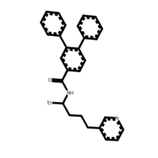 CCC(CCCc1cccnc1)NC(=O)c1ccc(-c2ccccc2)c(-c2ccccc2)c1